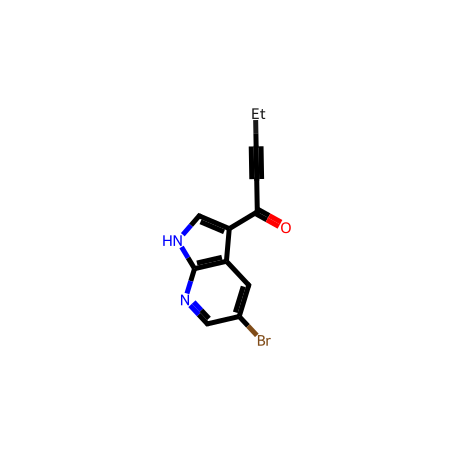 CCC#CC(=O)c1c[nH]c2ncc(Br)cc12